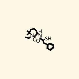 CCN1C(=O)[C@@H](NC(=O)[C@@H](S)Cc2ccccc2)CCCC1(C)C